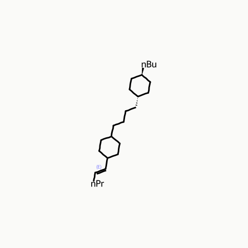 CCC/C=C/C1CCC(CCCC[C@H]2CC[C@H](CCCC)CC2)CC1